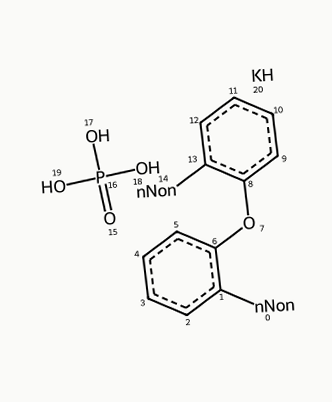 CCCCCCCCCc1ccccc1Oc1ccccc1CCCCCCCCC.O=P(O)(O)O.[KH]